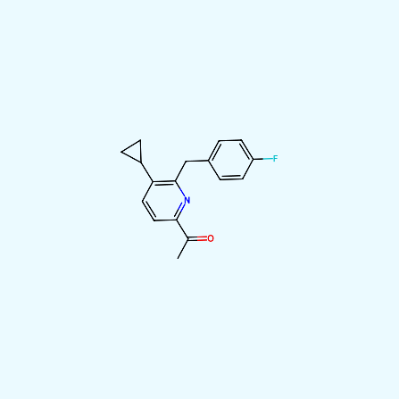 CC(=O)c1ccc(C2CC2)c(Cc2ccc(F)cc2)n1